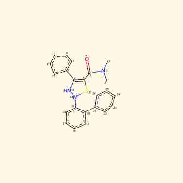 CN(C)C(=O)C1=C(c2ccccc2)NN(c2ccccc2-c2ccccc2)S1